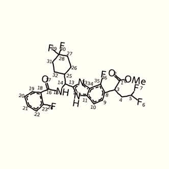 COC(=O)C(CC(F)F)c1ccc2[nH]c(C(NC(=O)c3ccccc3F)C3CCC(F)(F)CC3)nc2c1F